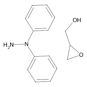 NN(c1ccccc1)c1ccccc1.OCC1CO1